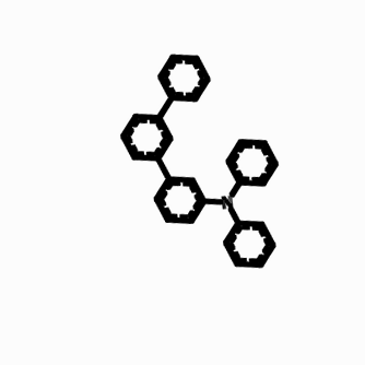 c1ccc(-c2cccc(-c3cccc(N(c4ccccc4)c4ccccc4)c3)c2)cc1